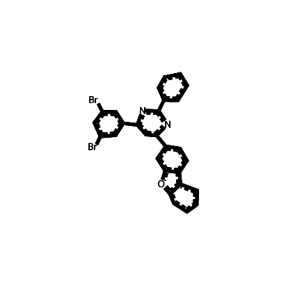 Brc1cc(Br)cc(-c2cc(-c3ccc4c(c3)oc3ccccc34)nc(-c3ccccc3)n2)c1